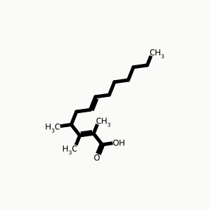 CCCCCCC=CCC(C)C(C)=C(C)C(=O)O